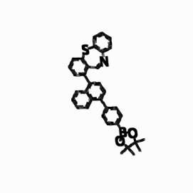 CC1(C)OB(c2ccc(-c3ccc(-c4cccc5c4C=Nc4ccccc4S5)c4ccccc34)cc2)OC1(C)C